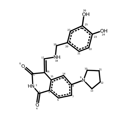 O=C1NC(=O)c2ccc(N3CCCC3)cc2/C1=C\NCc1ccc(O)c(O)c1